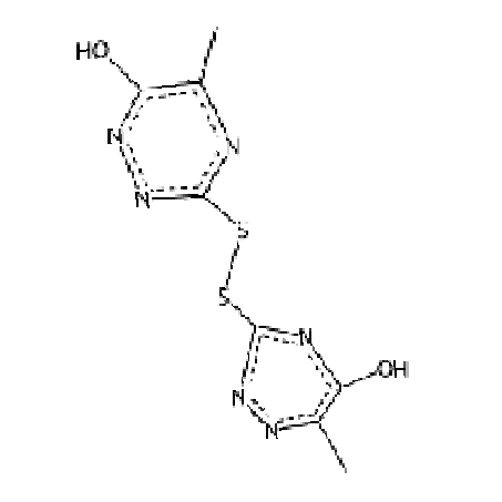 Cc1nc(SSc2nnc(C)c(O)n2)nnc1O